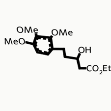 CCOC(=O)CC(O)CCc1ccc(OC)c(OC)c1OC